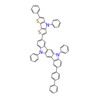 c1ccc(-c2ccc(-c3ccc4c(c3)c3cc5c(cc3n4-c3ccccc3)c3cc(-c4cc6c(s4)c4sc(-c7ccccc7)cc4n6-c4ccccc4)ccc3n5-c3ccccc3)cc2)cc1